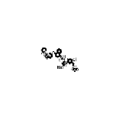 C[C@H]1CCCCN1c1nnc2ccc(O[C@@H]3CC[C@H](NC(=O)Nc4cc(C(C)(C)C)nn4-c4ccc(Cl)c(CCOS(C)(=O)=O)c4)c4ccccc43)cn12